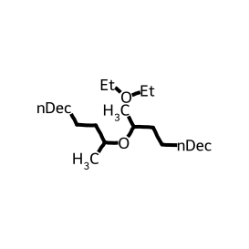 CCCCCCCCCCCCC(C)OC(C)CCCCCCCCCCCC.CCOCC